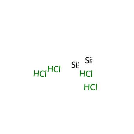 Cl.Cl.Cl.Cl.[Si].[Si]